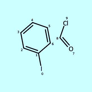 Ic1ccccc1.O=CCl